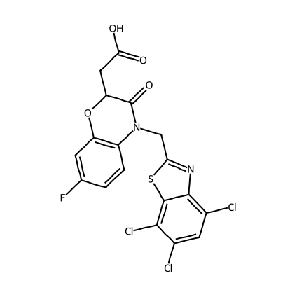 O=C(O)CC1Oc2cc(F)ccc2N(Cc2nc3c(Cl)cc(Cl)c(Cl)c3s2)C1=O